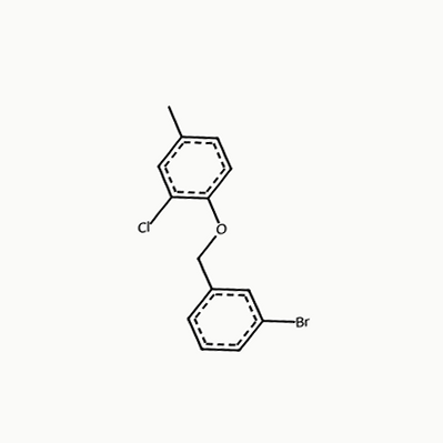 Cc1ccc(OCc2cccc(Br)c2)c(Cl)c1